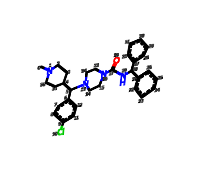 CN1CCC(C(c2ccc(Cl)cc2)N2CCN(C(=O)NC(c3ccccc3)c3ccccc3)CC2)CC1